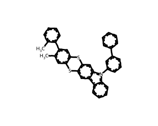 Cc1ccccc1-c1cc2c(cc1C)Sc1cc3c4ccccc4n(-c4cccc(-c5ccccc5)c4)c3cc1S2